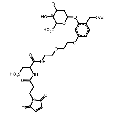 CC(=O)OCc1ccc(OCCOCCNC(=O)C(CS(=O)(=O)O)NC(=O)CCN2C(=O)C=CC2=O)cc1OC1CC(O)[C@H](O)C(C(=O)O)O1